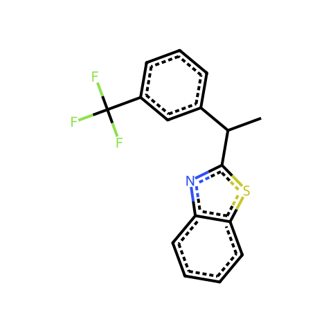 CC(c1cccc(C(F)(F)F)c1)c1nc2ccccc2s1